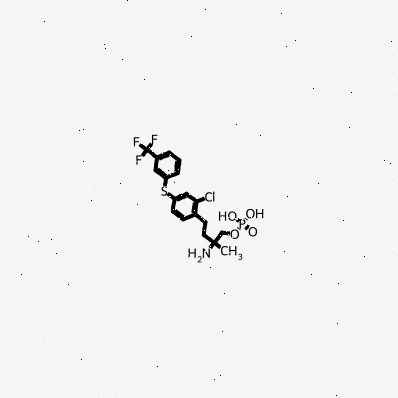 CC(N)(CCc1ccc(Sc2cccc(C(F)(F)F)c2)cc1Cl)COP(=O)(O)O